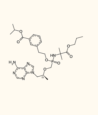 CCCOC(=O)C(C)(C)NP(=O)(CO[C@@H](C)Cn1cnc2c(N)ncnc21)OCCc1cccc(C(=O)OC(C)C)c1